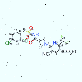 CCOC(=O)c1cc(C#N)c(N2CC(C(=O)NS(=O)(=O)Cc3ccc(Cl)cc3Cl)C2)nc1C(F)F